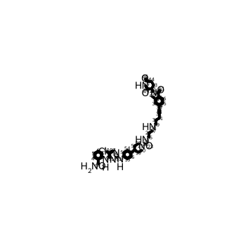 NC(=O)c1ccccc1Nc1nc(Nc2ccc(C3CCN(C(=O)NCCCNCCCC#Cc4ccc5c(c4)CN(C4CCC(=O)NC4=O)C5=O)CC3)cc2)ncc1Cl